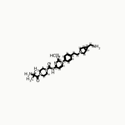 CC(C)(N)C(=O)N1CCN(C(=O)Nc2ccn(-c3ccc(CCN4CC5C(CN)C5C4)cc3)c(=O)n2)CC1.Cl